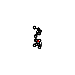 c1ccc(-c2ccc3ccc4ccc(-c5cccc(-c6ccc(-n7c8ccccc8c8c9ccccc9nc(-c9ccccc9)c87)cc6)c5)nc4c3n2)cc1